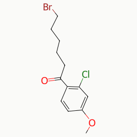 COc1ccc(C(=O)CCCCCBr)c(Cl)c1